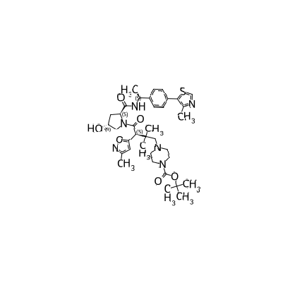 Cc1cc([C@@H](C(=O)N2C[C@H](O)C[C@H]2C(=O)N[C@@H](C)c2ccc(-c3scnc3C)cc2)C(C)(C)CN2CCN(C(=O)OC(C)(C)C)CC2)on1